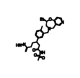 C=C(CCC(CC(=O)NS(C)(=O)=O)c1ccc(C)c(CN2Cc3cnccc3O[C@H](CC)C2)c1)N=N